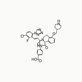 O=C(O)c1ccc(NC(=O)C2c3cccc(OCC4CCNCC4)c3CCN2C(=O)/C=C/c2c(-n3cnnn3)ccc(Cl)c2F)cc1